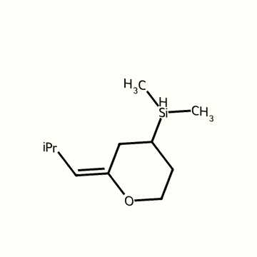 CC(C)C=C1CC([SiH](C)C)CCO1